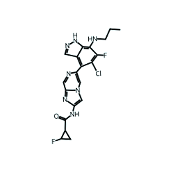 CCCNc1c(F)c(Cl)c(-c2cn3cc(NC(=O)C4CC4F)nc3cn2)c2cn[nH]c12